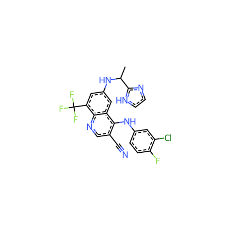 CC(Nc1cc(C(F)(F)F)c2ncc(C#N)c(Nc3ccc(F)c(Cl)c3)c2c1)c1ncc[nH]1